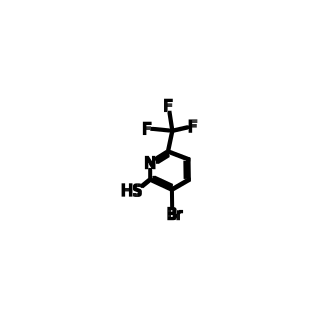 FC(F)(F)c1ccc(Br)c(S)n1